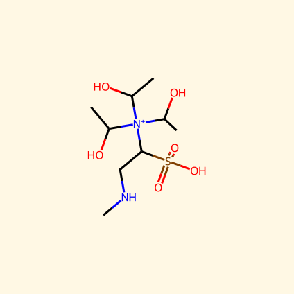 CNCC([N+](C(C)O)(C(C)O)C(C)O)S(=O)(=O)O